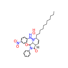 CCCCCCCCCC[C@@H](O)[C@H]1C=C[C@H]2C(=O)N(c3ccccc3)C(=O)C2N1Nc1ccc([N+](=O)[O-])cc1